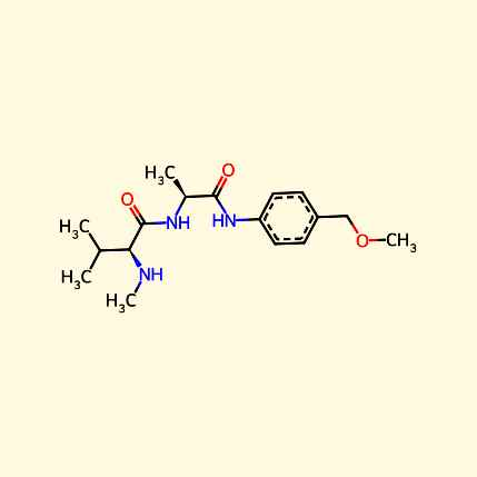 CN[C@H](C(=O)N[C@@H](C)C(=O)Nc1ccc(COC)cc1)C(C)C